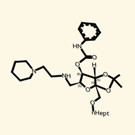 CCCCCCCOC[C@@]12O[C@@H](CNCCN3CCCCC3)[C@@H](OC(=O)Nc3ccccc3)[C@@H]1OC(C)(C)O2